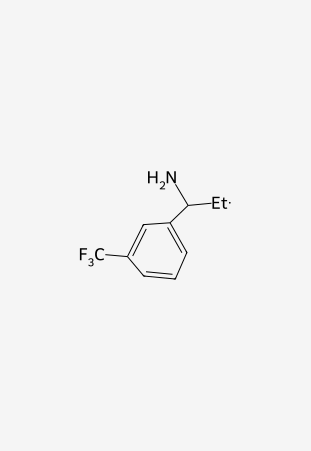 C[CH]C(N)c1cccc(C(F)(F)F)c1